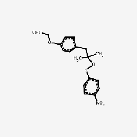 CC(C)(Cc1ccc(OCC=O)cc1)OSc1ccc([N+](=O)[O-])cc1